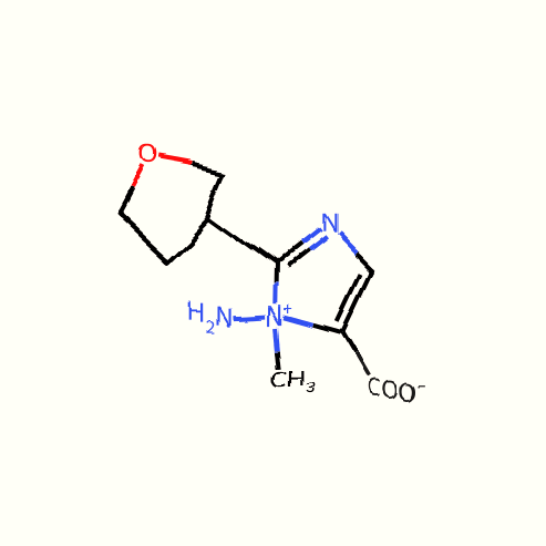 C[N+]1(N)C(C(=O)[O-])=CN=C1C1CCOC1